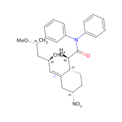 CO[C@H](C)C[C@@H](C=O)/C=C1/C[C@@H]([N+](=O)[O-])CC[C@H]1[C@@H](C)C(=O)N(c1ccccc1)c1ccccc1